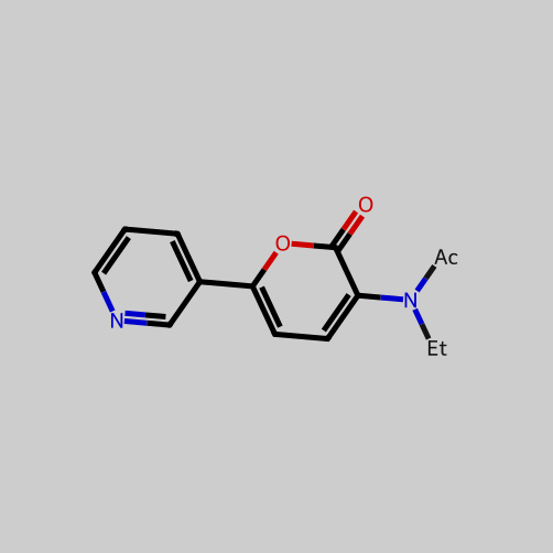 CCN(C(C)=O)c1ccc(-c2cccnc2)oc1=O